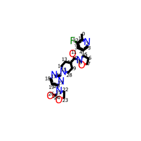 Cc1ncc([C@@H]2CCON2C(=O)C2CCN(c3nccc(N4CCOC4=O)n3)CC2)cc1F